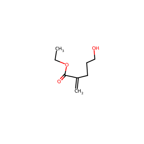 C=C(CCCO)C(=O)OCC